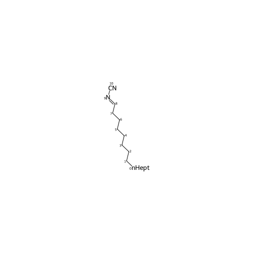 CCCCCCCCCCCCCCC=NC#N